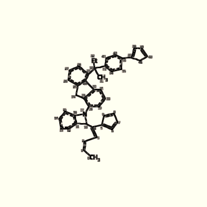 C/C=C\C=C(\C1=C=CC=C1)C1c2ccccc2N1c1cccc2c1Cc1cccc(C(C)(CC)c3ccc(C4=CC=CC4)cc3)c1-2